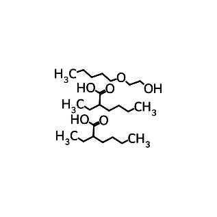 CCCCC(CC)C(=O)O.CCCCC(CC)C(=O)O.CCCCCOCCO